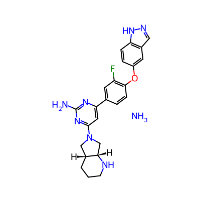 N.Nc1nc(-c2ccc(Oc3ccc4[nH]ncc4c3)c(F)c2)cc(N2C[C@H]3CCCN[C@H]3C2)n1